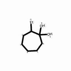 CCC1CCCCCC1(O)O